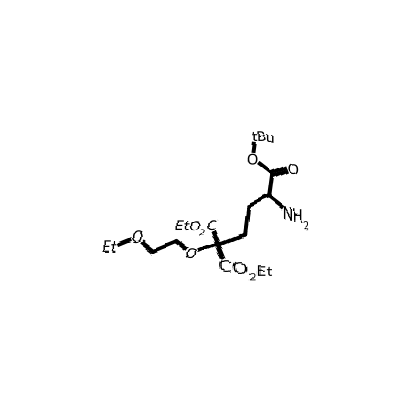 CCOCCOC(CCC(N)C(=O)OC(C)(C)C)(C(=O)OCC)C(=O)OCC